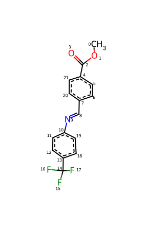 COC(=O)c1ccc(C=Nc2ccc(C(F)(F)F)cc2)cc1